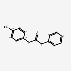 O=C(Cc1ccccc1)Cc1ccc(O)cc1